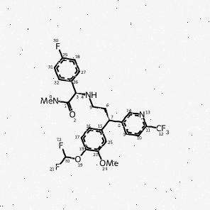 CNC(=O)[C@H](NCC[C@@H](c1ccc(C(F)(F)F)nc1)c1ccc(OC(F)F)c(OC)c1)c1ccc(F)cc1